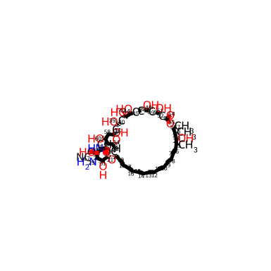 C[C@@H]1[C@H](O)[C@@H](C)/C=C/C=C/C=C/C=C/C=C/C=C/C=C/[C@H](O[C@@H]2O[C@H](C)[C@@H](O)[C@H](N)[C@H]2O)C[C@@H]2O[C@](O)(C[C@@H](O)C[C@@H](O)[C@H](O)CC[C@@H](O)C[C@@H](O)CC(=O)O[C@H]1C)C[C@H](O)[C@H]2C(=O)NCCC#N